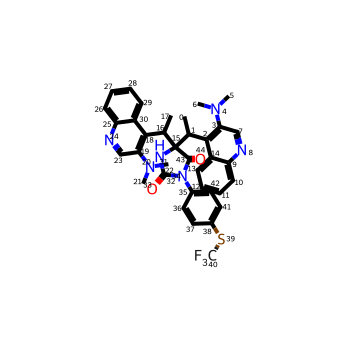 CC(c1c(N(C)C)cnc2ccccc12)C1(C(C)c2c(N(C)C)cnc3ccccc23)NC(=O)N(c2ccc(SC(F)(F)F)cc2)C1=O